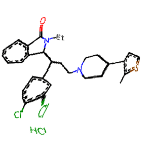 CCN1C(=O)c2ccccc2C1C(CCN1CCC(c2ccsc2C)CC1)c1ccc(Cl)c(Cl)c1.Cl